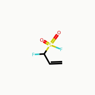 C=CC(F)S(=O)(=O)F